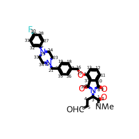 CNC(=O)C(CCC=O)N1C(=O)c2cccc(OCc3ccc(CN4CCN(c5ccc(F)cc5)CC4)cc3)c2C1=O